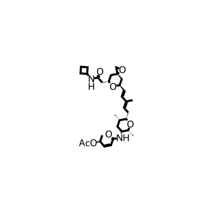 CC(=O)O[C@@H](C)/C=C\C(=O)N[C@@H]1C[C@H](C)[C@H](C/C=C(C)/C=C/[C@@H]2C[C@]3(CO3)C[C@@H](CC(=O)NC3CCC3)O2)O[C@@H]1C